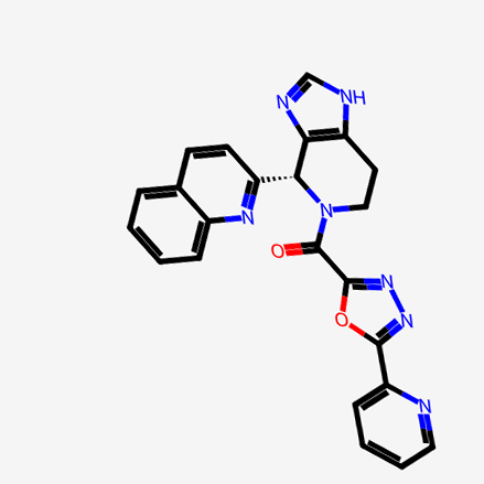 O=C(c1nnc(-c2ccccn2)o1)N1CCc2[nH]cnc2[C@H]1c1ccc2ccccc2n1